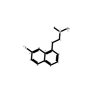 CC(C)N(C)CCc1cccc2ccc(F)cc12